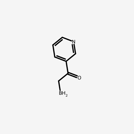 BCC(=O)c1cccnc1